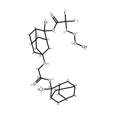 CCC1(OC(=O)C(F)(F)SOOO)C2CC3CC1CC(OCC(=O)OC1(C)C4CC5CC(C4)CC1C5)(C3)C2